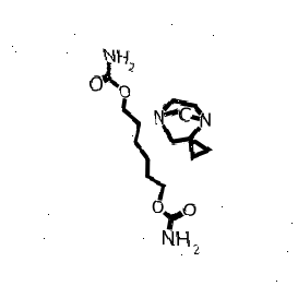 C1CN2CCN1CC21CC1.NC(=O)OCCCCCCOC(N)=O